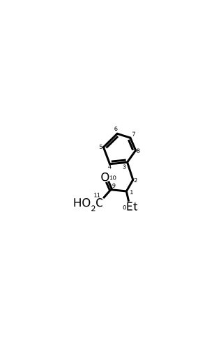 CCC(Cc1ccccc1)C(=O)C(=O)O